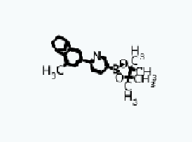 Cc1cc(-c2ccc(B3OC(C)(C)C(C)(C)O3)cn2)cc2c1C1CCC2C1